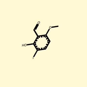 COc1ccc(I)c(O)c1C=O